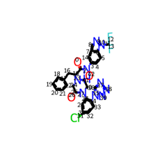 O=C(Nc1ccc2c(cnn2C(F)F)c1)C(Cc1ccccc1)N1CC(=O)N(c2cc(Cl)ccc2-n2cnnn2)CC1=O